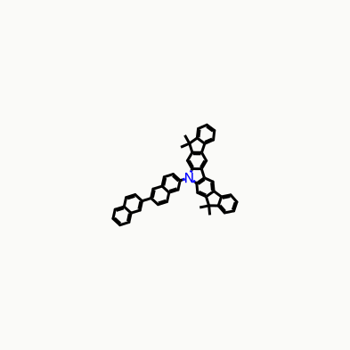 CC1(C)c2ccccc2-c2cc3c4cc5c(cc4n(-c4ccc6cc(-c7ccc8ccccc8c7)ccc6c4)c3cc21)C(C)(C)c1ccccc1-5